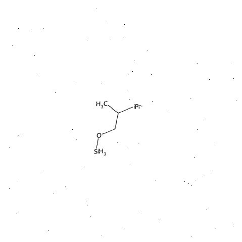 C[C](C)C(C)CO[SiH3]